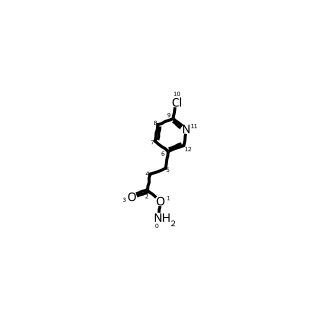 NOC(=O)CCc1ccc(Cl)nc1